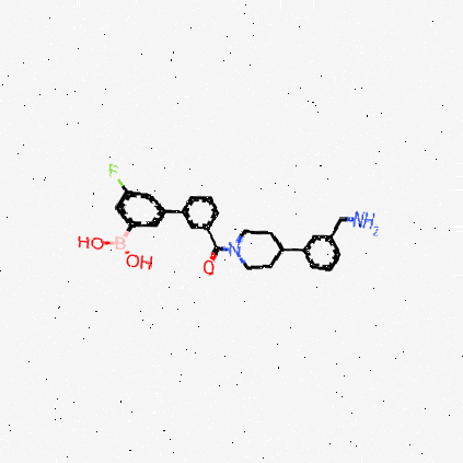 NCc1cccc(C2CCN(C(=O)c3cccc(-c4cc(F)cc(B(O)O)c4)c3)CC2)c1